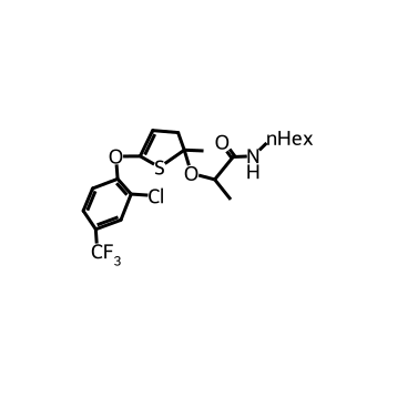 CCCCCCNC(=O)C(C)OC1(C)CC=C(Oc2ccc(C(F)(F)F)cc2Cl)S1